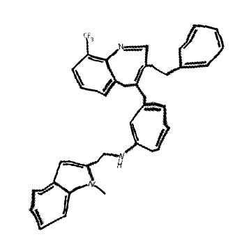 Cn1c(CNc2cccc(-c3c(Cc4ccccc4)cnc4c(C(F)(F)F)cccc34)c2)cc2ccccc21